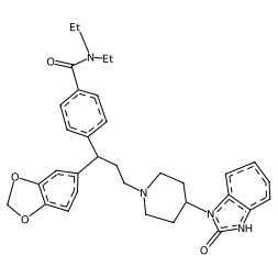 CCN(CC)C(=O)c1ccc(C(CCN2CCC(n3c(=O)[nH]c4ccccc43)CC2)c2ccc3c(c2)OCO3)cc1